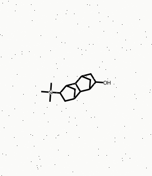 C[Si](C)(C)C1CC2CC1C1C3CC(O)C(C3)C21